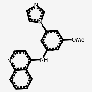 COc1cc(Nc2ccnc3ccccc23)cc(-n2ccnc2)c1